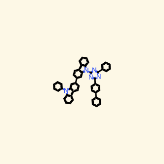 c1ccc(-c2ccc(-c3nc(-c4ccccc4)nc(-n4c5ccccc5c5ccc(-c6ccc7c8ccccc8n(-c8ccccc8)c7c6)cc54)n3)cc2)cc1